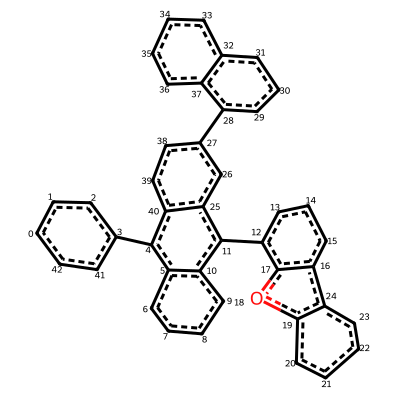 c1ccc(-c2c3ccccc3c(-c3cccc4c3oc3ccccc34)c3cc(-c4cccc5ccccc45)ccc23)cc1